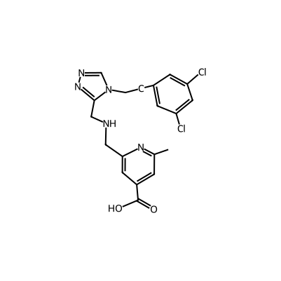 Cc1cc(C(=O)O)cc(CNCc2nncn2CCc2cc(Cl)cc(Cl)c2)n1